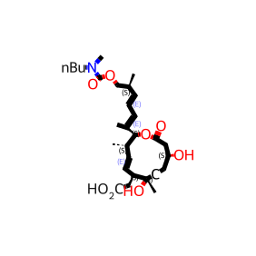 CCCCN(C)C(=O)OC[C@@H](C)/C=C/C=C(\C)[C@H]1OC(=O)C[C@@H](O)CC[C@](C)(O)[C@@H](CC(=O)O)/C=C/[C@@H]1C